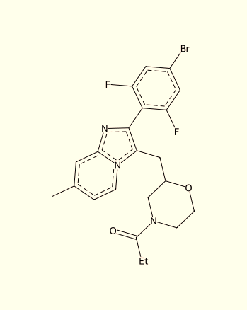 CCC(=O)N1CCOC(Cc2c(-c3c(F)cc(Br)cc3F)nc3cc(C)ccn23)C1